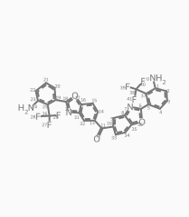 Nc1cccc(-c2nc3cc(C(=O)c4ccc5oc(-c6cccc(N)c6C(F)(F)F)nc5c4)ccc3o2)c1C(F)(F)F